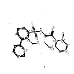 CCc1c(-c2ccccn2)cccc1S(=O)(=O)N[C@@H](CN)C(=O)N1CCOC[C@@H]1C